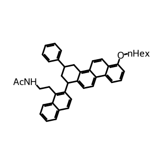 CCCCCCOc1cccc2c1ccc1c3c(ccc12)C(c1ccc2ccccc2c1CCNC(C)=O)CC(c1ccccc1)C3